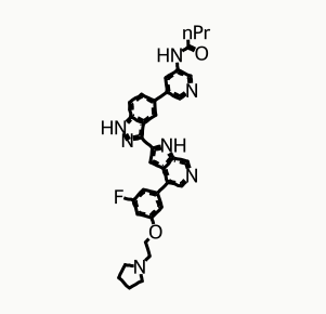 CCCC(=O)Nc1cncc(-c2ccc3[nH]nc(-c4cc5c(-c6cc(F)cc(OCCN7CCCC7)c6)cncc5[nH]4)c3c2)c1